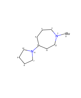 CC(C)(C)N1CCCC(N2CCCC2)CC1